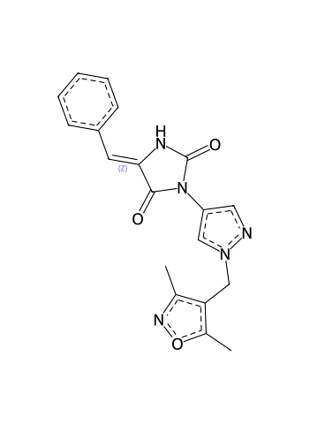 Cc1noc(C)c1Cn1cc(N2C(=O)N/C(=C\c3ccccc3)C2=O)cn1